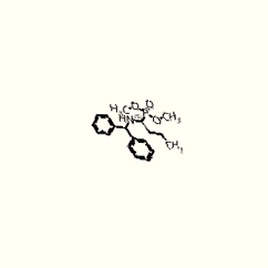 CCC[C@@H](NC(c1ccccc1)c1ccccc1)P(=O)(OC)OC